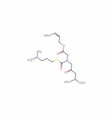 CCCCCC/C=C\COC(=O)CN(CC(=O)CC(CCCCCCCC)CCCCCCCC)C(=O)SCCCN(C)C